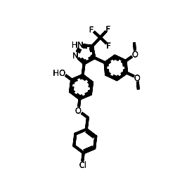 COc1ccc(-c2c(-c3ccc(OCC4=CC=C(Cl)CC4)cc3O)n[nH]c2C(F)(F)F)cc1OC